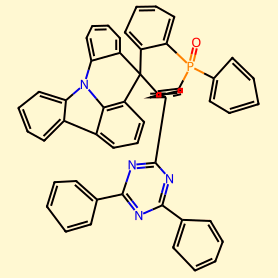 O=P1(c2ccccc2)c2ccccc2C2(c3ccccc3-n3c4ccccc4c4cccc2c43)c2cc(-c3nc(-c4ccccc4)nc(-c4ccccc4)n3)ccc21